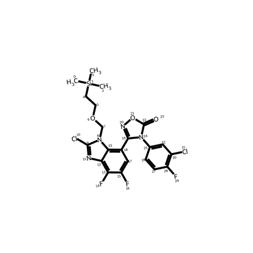 C[Si](C)(C)CCOCn1c(Cl)nc2c(F)c(F)cc(-c3noc(=O)n3-c3ccc(F)c(Cl)c3)c21